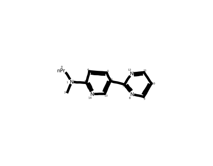 CCCN(C)c1ccc(-c2ncccn2)cn1